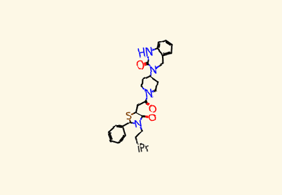 CC(C)CCN1C(=O)C(CC(=O)N2CCC(N3Cc4ccccc4NC3=O)CC2)SC1c1ccccc1